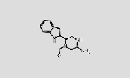 NC1CN(C=O)C(c2cc3ccccc3[nH]2)CN1